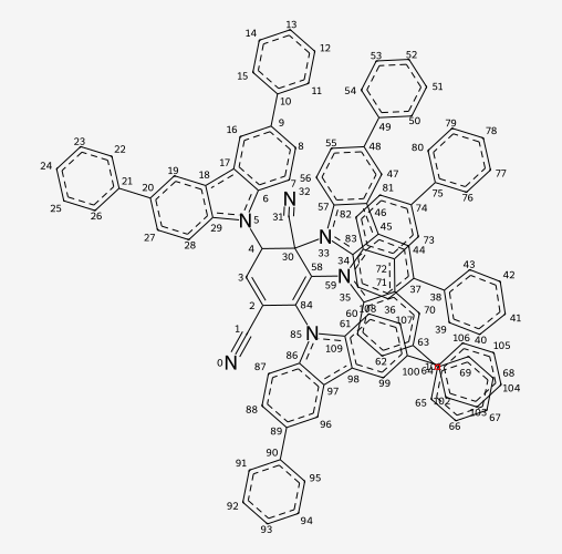 N#CC1=CC(n2c3ccc(-c4ccccc4)cc3c3cc(-c4ccccc4)ccc32)C(C#N)(n2c3ccc(-c4ccccc4)cc3c3cc(-c4ccccc4)ccc32)C(n2c3ccc(-c4ccccc4)cc3c3cc(-c4ccccc4)ccc32)=C1n1c2ccc(-c3ccccc3)cc2c2cc(-c3ccccc3)ccc21